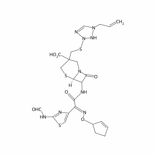 C=CCN1C=NN(SCC2(C(=O)O)CS[C@@H]3C(NC(=O)C(=NOC4C=CCC4)c4csc(NC=O)n4)C(=O)N3C2)N1